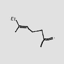 [CH]=C(C)CCC=C(C)C[CH2]